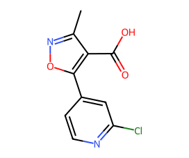 Cc1noc(-c2ccnc(Cl)c2)c1C(=O)O